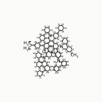 Cc1ccc2c(c1)=CN(c1cc3c(-c4ccc(-c5ccccc5)cc4)c(/C(=N/c4ccccc4)c4ccccc4)c4cc(-c5ccc(C(C)C)cc5)c5oc6c(N(c7ccccc7)c7cc8cccc(-c9ccccc9)c8c8ccccc78)cccc6c5c4c3c3oc4cc(N5Cc6ccccc6-c6ccccc65)ccc4c13)C1C=CC=CC=21